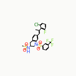 C/C(=C\c1ccc2c(c1)N(S(=O)(=O)c1cccc(C(F)(F)F)c1)C[C@H](NS(C)(=O)=O)C2)c1c(F)cccc1Cl